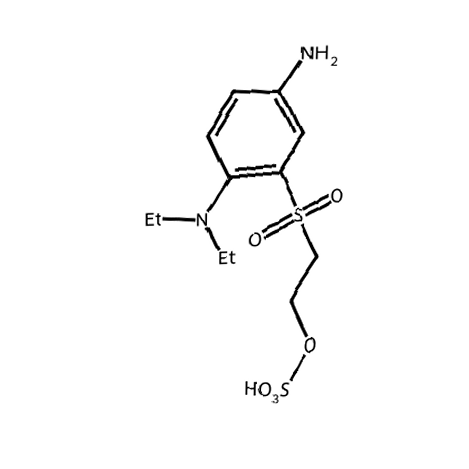 CCN(CC)c1ccc(N)cc1S(=O)(=O)CCOS(=O)(=O)O